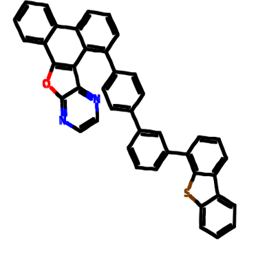 c1cc(-c2ccc(-c3cccc4c5ccccc5c5oc6nccnc6c5c34)cc2)cc(-c2cccc3c2sc2ccccc23)c1